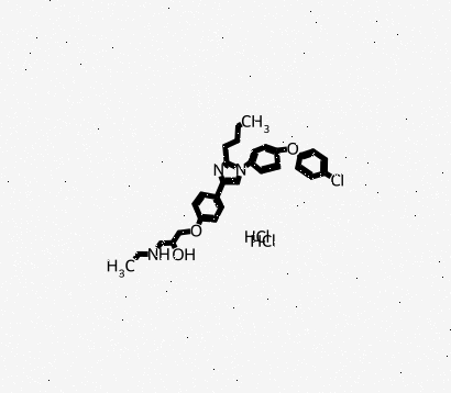 CCCCc1nc(-c2ccc(OCC(O)CNCC)cc2)cn1-c1ccc(Oc2ccc(Cl)cc2)cc1.Cl.Cl